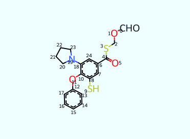 O=COCSC(=O)c1cc(S)c(Oc2ccccc2)c(N2CCCC2)c1